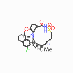 CO[C@@H]1/C=C/CCCS(=O)(=O)NC(=O)c2ccc3c(c2)N(C[C@@H]2CC[C@H]21)C[C@@]1(CCCc2cc(Cl)ccc21)CO3